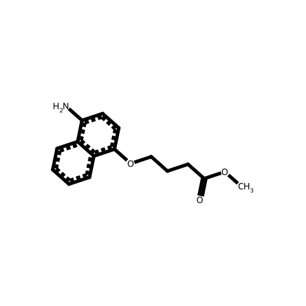 COC(=O)CCCOc1ccc(N)c2ccccc12